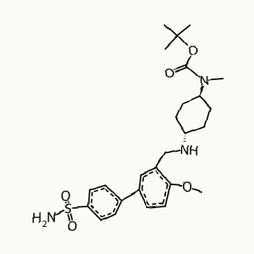 COc1ccc(-c2ccc(S(N)(=O)=O)cc2)cc1CN[C@H]1CC[C@H](N(C)C(=O)OC(C)(C)C)CC1